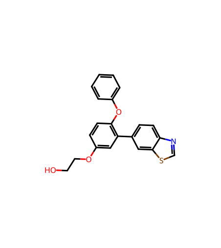 OCCOc1ccc(Oc2ccccc2)c(-c2ccc3ncsc3c2)c1